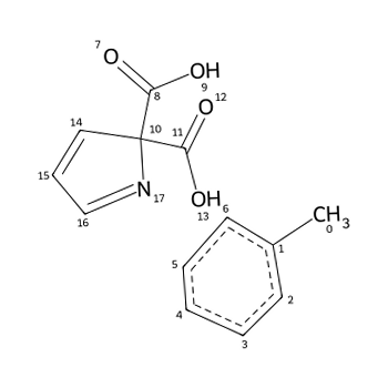 Cc1ccccc1.O=C(O)C1(C(=O)O)C=CC=N1